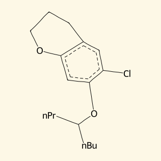 CCCCC(CCC)Oc1cc2c(cc1Cl)CCCO2